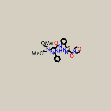 COCCN(CCOC)c1cc(C(=O)Nc2ccccc2-c2nnc(C(=O)N3CCOCC3)s2)nc(-c2ccccc2)n1